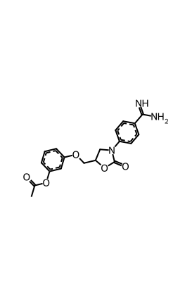 CC(=O)Oc1cccc(OCC2CN(c3ccc(C(=N)N)cc3)C(=O)O2)c1